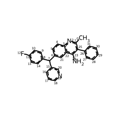 Cc1nc2ccc(C(c3ccc(F)cc3)c3cccnc3)cc2c(N)c1-c1ccccc1